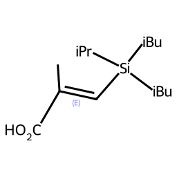 CCC(C)[Si](/C=C(\C)C(=O)O)(C(C)C)C(C)CC